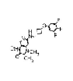 CCN1C(=O)[C@@H](C)N(C)c2cc(NC[C@H]3C[C@H](Oc4cc(F)c(F)c(F)c4)C3)ncc21